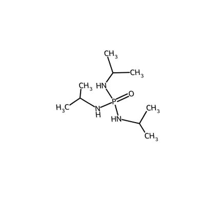 CC(C)NP(=O)(NC(C)C)NC(C)C